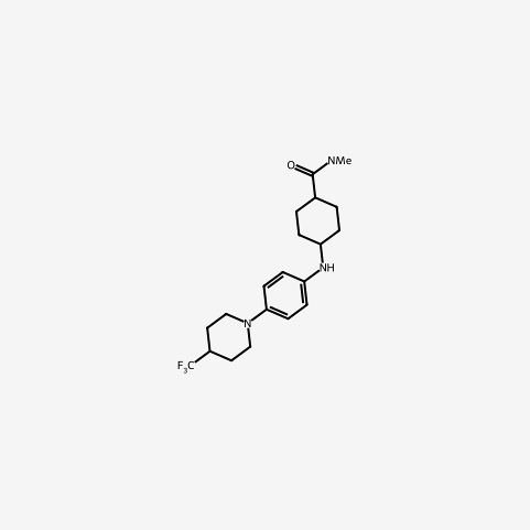 CNC(=O)C1CCC(Nc2ccc(N3CCC(C(F)(F)F)CC3)cc2)CC1